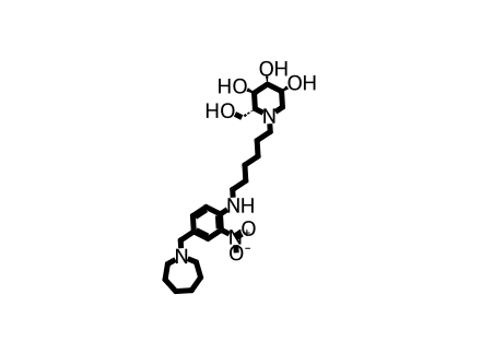 O=[N+]([O-])c1cc(CN2CCCCCC2)ccc1NCCCCCCN1C[C@H](O)[C@@H](O)[C@H](O)[C@H]1CO